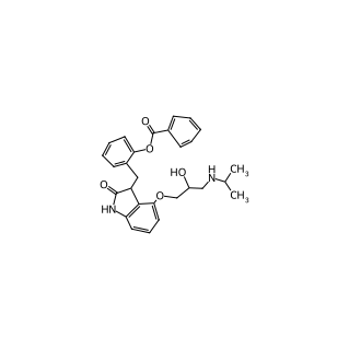 CC(C)NCC(O)COc1cccc2c1C(Cc1ccccc1OC(=O)c1ccccc1)C(=O)N2